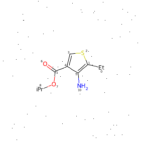 CCc1scc(C(=O)OC(C)C)c1N